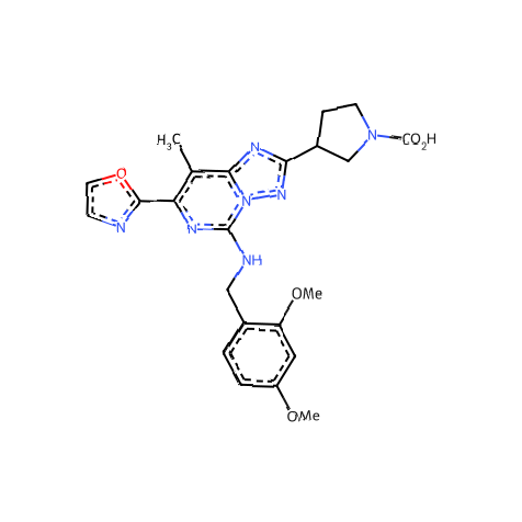 COc1ccc(CNc2nc(-c3ncco3)c(C)c3nc(C4CCN(C(=O)O)C4)nn23)c(OC)c1